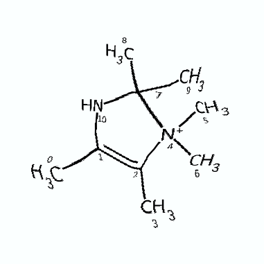 CC1=C(C)[N+](C)(C)C(C)(C)N1